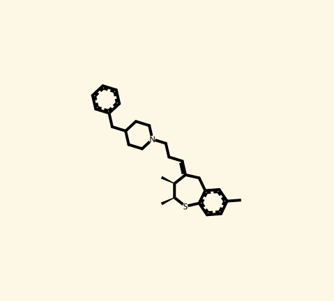 Cc1ccc2c(c1)C/C(=C/CCN1CCC(Cc3ccccc3)CC1)[C@H](C)[C@H](C)S2